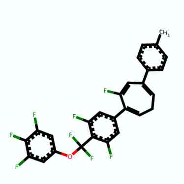 Cc1ccc(C2=CCC=C(c3cc(F)c(C(F)(F)Oc4cc(F)c(F)c(F)c4)c(F)c3)C(F)=C2)cc1